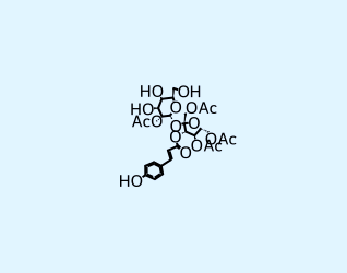 CC(=O)OC[C@H]1O[C@@](COC(C)=O)(O[C@H]2O[C@H](CO)[C@@H](O)[C@H](O)[C@H]2OC(C)=O)[C@@H](OC(=O)/C=C/c2ccc(O)cc2)[C@@H]1OC(C)=O